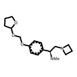 CN[C@H](CN1CCC1)c1ccc(OCOC2CCCO2)cc1